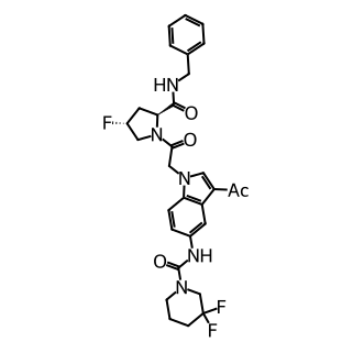 CC(=O)c1cn(CC(=O)N2C[C@H](F)C[C@H]2C(=O)NCc2ccccc2)c2ccc(NC(=O)N3CCCC(F)(F)C3)cc12